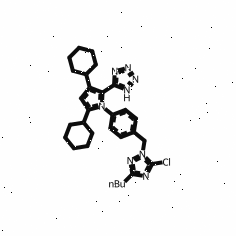 CCCCc1nc(Cl)n(Cc2ccc(-n3c(C4CCCCC4)cc(C4CCCCC4)c3-c3nnn[nH]3)cc2)n1